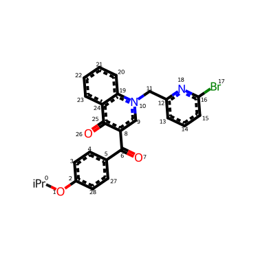 CC(C)Oc1ccc(C(=O)c2cn(Cc3cccc(Br)n3)c3ccccc3c2=O)cc1